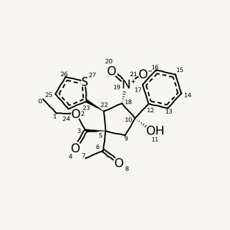 CCOC(=O)[C@]1(C(C)=O)C[C@](O)(c2ccccc2)[C@@H]([N+](=O)[O-])[C@@H]1c1cccs1